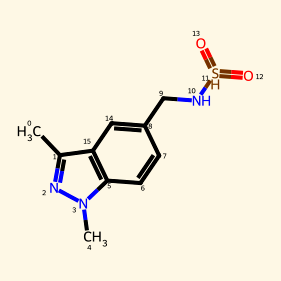 Cc1nn(C)c2ccc(CN[SH](=O)=O)cc12